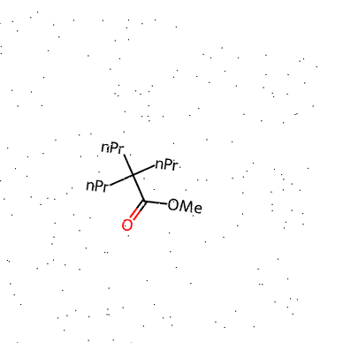 [CH2]OC(=O)C(CCC)(CCC)CCC